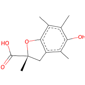 Cc1c(C)c2c(c(C)c1O)C[C@](C)(C(=O)O)O2